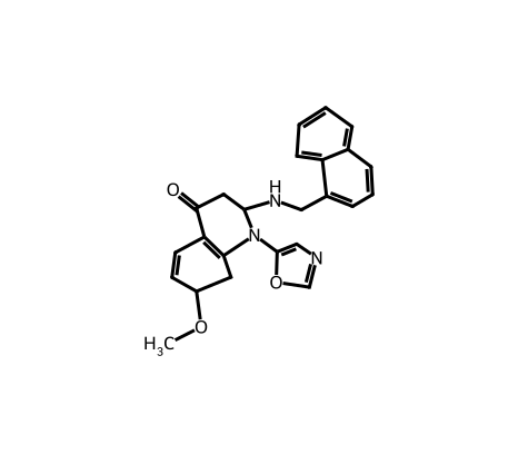 COC1C=CC2=C(C1)N(c1cnco1)C(NCc1cccc3ccccc13)CC2=O